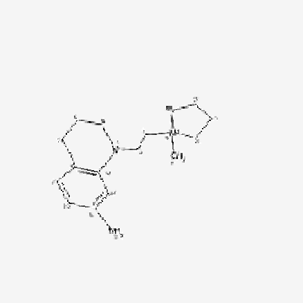 C[N+]1(CCN2CCCc3ccc(N)cc32)CCCC1